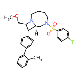 COC[C@@H]1[C@@H](c2ccc(-c3ccccc3C)cc2)[C@@H]2CN(S(=O)(=O)c3ccc(F)cc3)CCCCN12